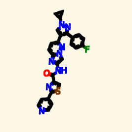 O=C(Nc1cn2nc(-c3cn(C4CC4)nc3-c3ccc(F)cc3)ccc2n1)c1csc(-c2ccncc2)n1